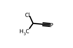 CC(Cl)C#P